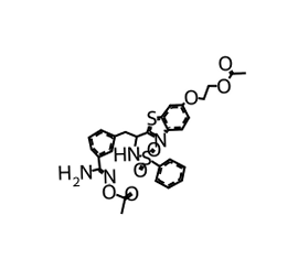 CC(=O)OCCOc1ccc2nc(C(Cc3cccc(C(N)=NOC(C)=O)c3)NS(=O)(=O)c3ccccc3)sc2c1